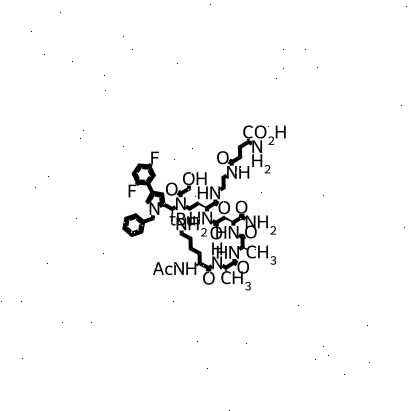 CC(=O)N[C@@H](CCCCN)C(=O)N[C@@H](C)C(=O)N[C@@H](C)C(=O)N[C@@H](CC(=O)N[C@@H](CCN(C(=O)CO)[C@@H](c1cc(-c2cc(F)ccc2F)cn1Cc1ccccc1)C(C)(C)C)C(=O)NCCNC(=O)CC[C@H](N)C(=O)O)C(N)=O